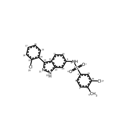 Cc1ccc(S(=O)(=O)Nc2ccc3c(-c4ccccc4Cl)n[nH]c3c2)cc1Cl